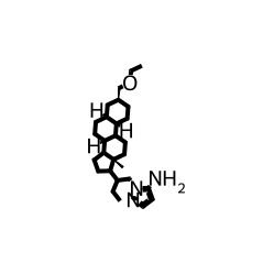 CCOC[C@H]1CC[C@@H]2C3CC[C@]4(C)C(C(CC)Cn5nccc5N)CCC4[C@@H]3CC[C@@H]2C1